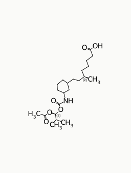 CC(=O)O[C@@H](OC(=O)NC1CCCC(CC[C@H](C)CCCCC(=O)O)C1)C(C)C